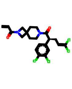 C=CC(=O)N1CC2(CCN(C(=O)[C@@H](CC=C(Cl)Cl)c3ccc(Cl)c(Cl)c3)CC2)C1